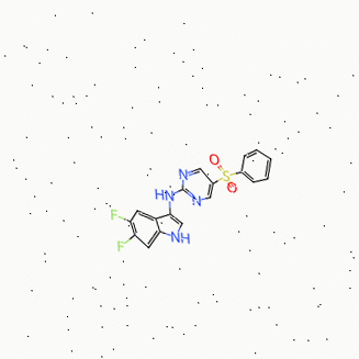 O=S(=O)(c1ccccc1)c1cnc(Nc2c[nH]c3cc(F)c(F)cc23)nc1